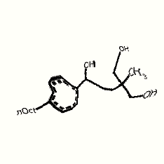 CCCCCCCCc1ccc(C(O)CC(C)(CO)CO)cc1